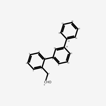 O=CCc1ccccc1-c1cccc(-c2ccccc2)c1